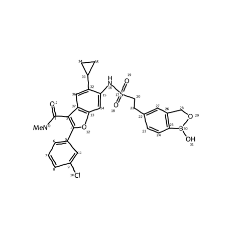 CNC(=O)c1c(-c2cccc(Cl)c2)oc2cc(NS(=O)(=O)CCc3ccc4c(c3)COB4O)c(C3CC3)cc12